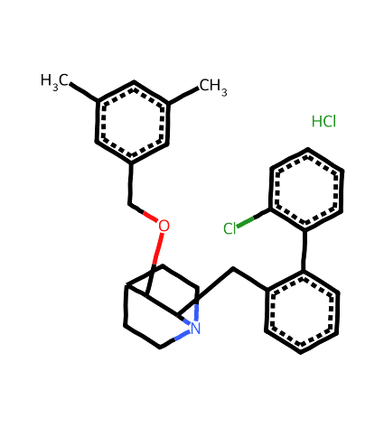 Cc1cc(C)cc(COC2C3CCN(CC3)C2Cc2ccccc2-c2ccccc2Cl)c1.Cl